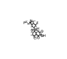 O=c1[nH]c2c(S(=O)(=O)c3cc(F)c4cnn(CCF)c4c3)ccc(Cl)c2c(=O)n1O